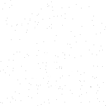 CCOC(=O)c1csc(C(Cc2ccccc2)NC(=O)COc2ccc(OC(F)(F)F)cc2)n1